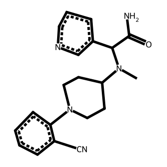 CN(C1CCN(c2ccccc2C#N)CC1)C(C(N)=O)c1cccnc1